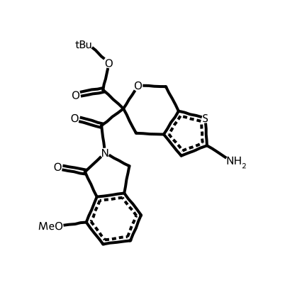 COc1cccc2c1C(=O)N(C(=O)C1(C(=O)OC(C)(C)C)Cc3cc(N)sc3CO1)C2